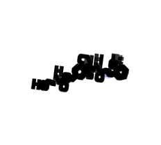 CCOc1ccccc1/C=C/C(=O)Nc1sc2c(c1C#N)CCC(COC(=O)NCCO)C2